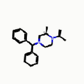 C=C(C)N1CCN(C(C2=CCCC=C2)c2ccccc2)C[C@H]1C